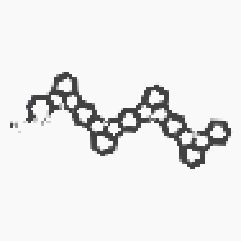 C=C/C=C\c1c(C)n2c3cc4c5cccc6c7cc8c(cc7n(c4cc3c3cccc1c32)c56)c1cccc2c3cc4c(cc3n8c21)c1cccc2c3ccccc3n4c21